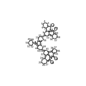 O=c1c2ccccc2c2cc(-c3ccc4c(c3)c3cc(-c5cc6c7ccccc7c(=O)n7c(=O)c8ccccc8c(c5)c67)ccc3n4-c3ccccc3)cc3c4ccccc4c(=O)n1c23